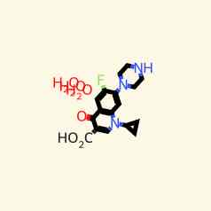 O.O.O.O=C(O)c1cn(C2CC2)c2cc(N3CCNCC3)c(F)cc2c1=O